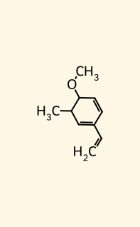 C=CC1=CC(C)C(OC)C=C1